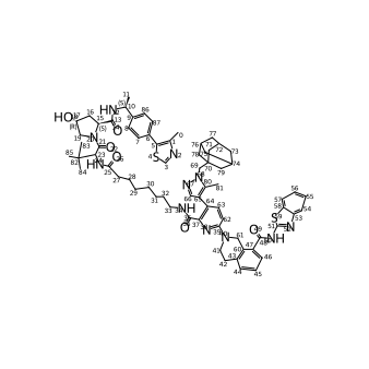 Cc1ncsc1-c1ccc([C@H](C)NC(=O)[C@@H]2C[C@@H](O)CN2C(=O)C(NC(=O)CCCCCCCNC(=O)c2nc(N3CCc4cccc(C(=O)Nc5nc6ccccc6s5)c4C3)ccc2-c2cnn(CC34CC5CC(CC(C5)C3)C4)c2C)C(C)(C)C)cc1